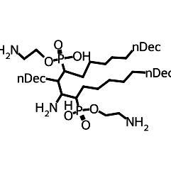 CCCCCCCCCCCCCCCC(C(N)C(CCCCCCCCCC)C(CCCCCCCCCCCCCCC)P(=O)(O)OCCN)P(=O)(O)OCCN